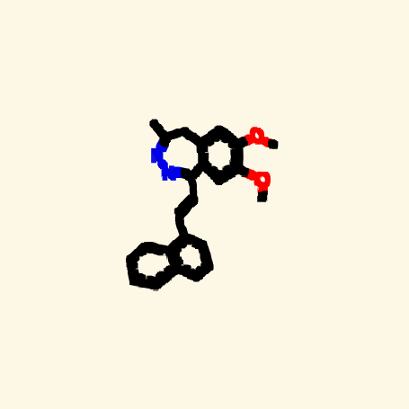 COc1cc2c(cc1OC)C(C=Cc1cccc3ccccc13)=NN=C(C)C2